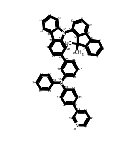 CC1(C)c2ccccc2-c2cccc(-n3c4ccccc4c4ccc(-c5cccc(N(c6ccccc6)c6ccc(-c7cccnc7)cc6)c5)cc43)c21